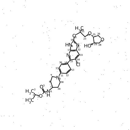 CC(C)OC(=O)NC1CCN(c2ccc(-c3nc4[nH]c(O[C@@H](C)CO[C@H]5COC[C@H]5O)nc4cc3Cl)cc2)CC1